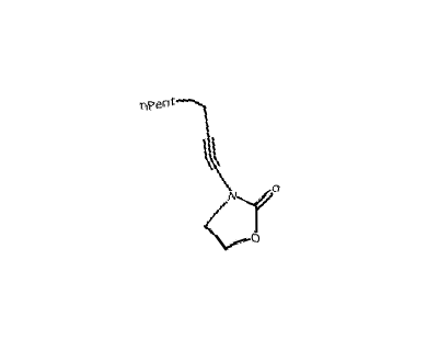 CCCCCCC#CN1CCOC1=O